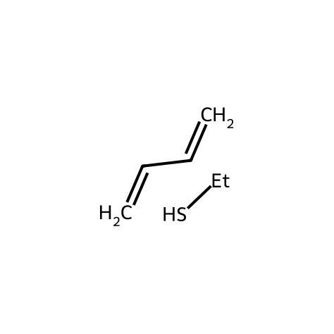 C=CC=C.CCS